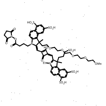 CC[N+]1=C(/C=C2\C(=O)C(/C=C3/N(CCCC(=O)ON4C(=O)CCC4=O)c4ccc5c(S(=O)(=O)O)cc(S(=O)(=O)O)cc5c4C3(C)CCOCCOCCOCCOCCOC)=C2O)C(C)(CCCS(=O)(=O)O)c2c1ccc1c(S(=O)(=O)O)cc(S(=O)(=O)O)cc21